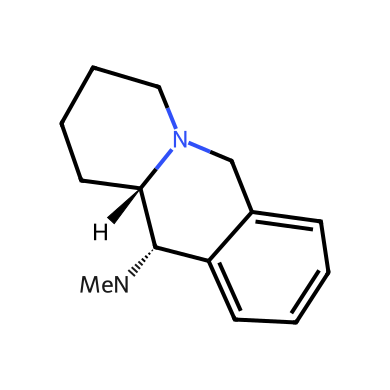 CN[C@H]1c2ccccc2CN2CCCC[C@@H]12